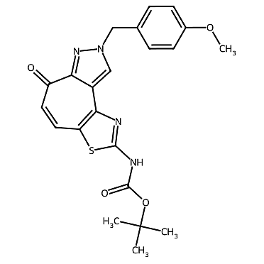 COc1ccc(Cn2cc3c(n2)c(=O)ccc2sc(NC(=O)OC(C)(C)C)nc23)cc1